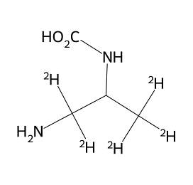 [2H]C([2H])([2H])C(NC(=O)O)C([2H])([2H])N